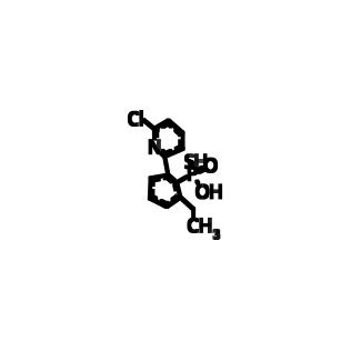 CCc1cccc(-c2cccc(Cl)n2)c1P(=O)(O)S